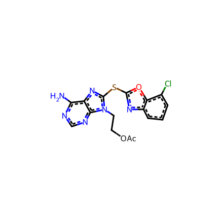 CC(=O)OCCn1c(Sc2nc3cccc(Cl)c3o2)nc2c(N)ncnc21